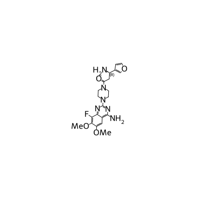 COc1cc2c(N)nc(N3CCN(C(=O)C[C@@H](N)c4ccoc4)CC3)nc2c(F)c1OC